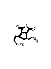 CC(C)(C)/C=C\C1CC(C(C)(C)C)C2C(=O)OC(=O)C12